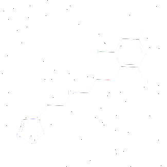 Clc1cc(Cl)c(OCCNCCn2ccnc2)c(Cl)c1